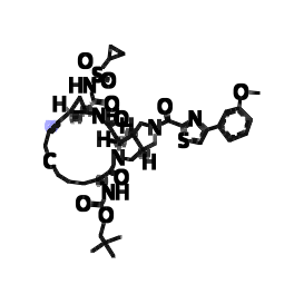 COc1cccc(-c2csc(C(=O)N3C[C@H]4CN5C(=O)[C@@H](NC(=O)OCC(C)(C)C)CCCCC/C=C\[C@H]6C[C@@]6(C(=O)NS(=O)(=O)C6CC6)NC(=O)[C@@H]5[C@H]4C3)n2)c1